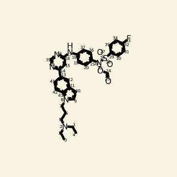 CCN(CC)CCCn1ccc2cc(-c3cc(Nc4ccc(N(OC=O)S(=O)(=O)c5ccc(F)cc5)cc4)ncn3)ccc21